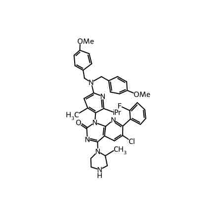 COc1ccc(CN(Cc2ccc(OC)cc2)c2cc(C)c(-n3c(=O)nc(N4CCNCC4C)c4cc(Cl)c(-c5ccccc5F)nc43)c(C(C)C)n2)cc1